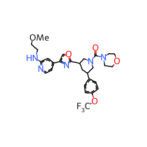 COCCNc1cc(-c2coc(C3CC(c4ccc(OC(F)(F)F)cc4)CN(C(=O)N4CCOCC4)C3)n2)ccn1